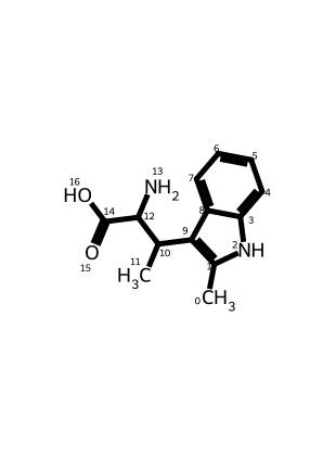 Cc1[nH]c2ccccc2c1C(C)C(N)C(=O)O